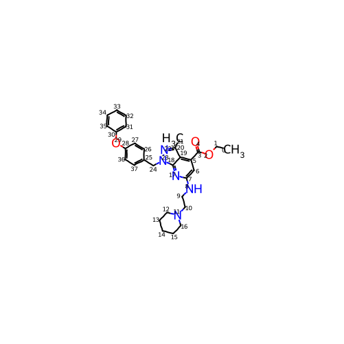 CCOC(=O)c1cc(NCCN2CCCCC2)nc2c1c(C)nn2Cc1ccc(Oc2ccccc2)cc1